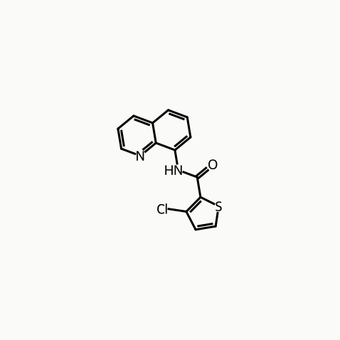 O=C(Nc1cccc2cccnc12)c1sccc1Cl